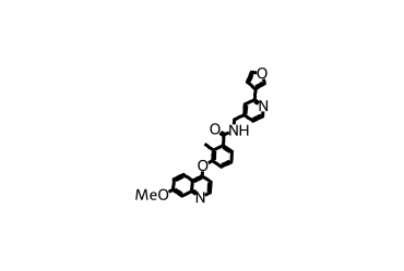 COc1ccc2c(Oc3cccc(C(=O)NCc4ccnc(-c5ccoc5)c4)c3C)ccnc2c1